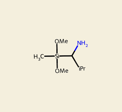 CO[Si](C)(OC)C(N)C(C)C